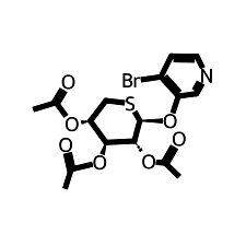 CC(=O)O[C@@H]1[C@@H](OC(C)=O)[C@H](OC(C)=O)CS[C@H]1Oc1cnccc1Br